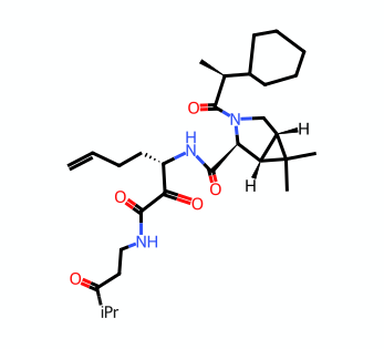 C=CCC[C@H](NC(=O)[C@@H]1[C@@H]2[C@H](CN1C(=O)[C@@H](C)C1CCCCC1)C2(C)C)C(=O)C(=O)NCCC(=O)C(C)C